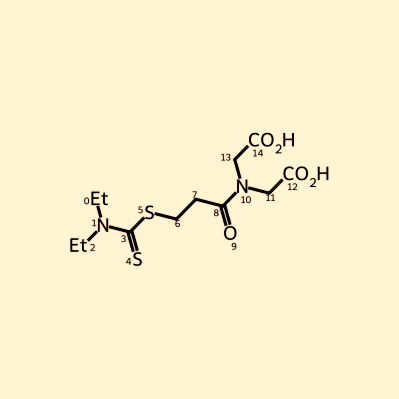 CCN(CC)C(=S)SCCC(=O)N(CC(=O)O)CC(=O)O